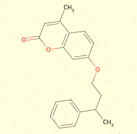 Cc1cc(=O)oc2cc(OCCC(C)c3ccccc3)ccc12